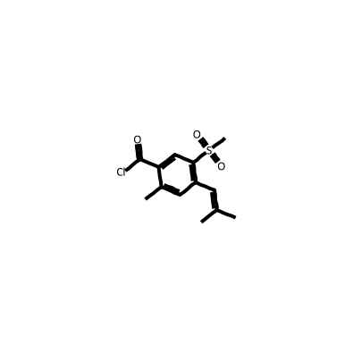 CC(C)=Cc1cc(C)c(C(=O)Cl)cc1S(C)(=O)=O